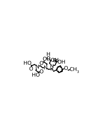 CCOc1ccc(C[C@@H](CN(CCN(CC(=O)O)CC(=O)O)CC(=O)O)N(CC(=O)O)CC(O)O)cc1